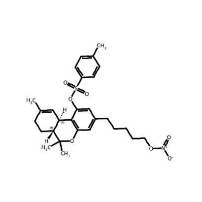 CC1=C[C@H]2c3c(cc(CCCCCO[N+](=O)[O-])cc3OS(=O)(=O)c3ccc(C)cc3)OC(C)(C)[C@@H]2CC1